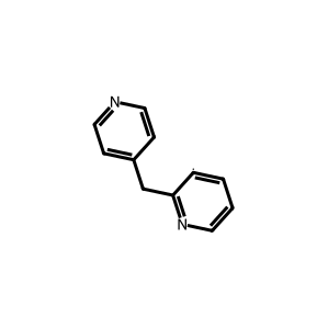 [c]1cccnc1Cc1ccncc1